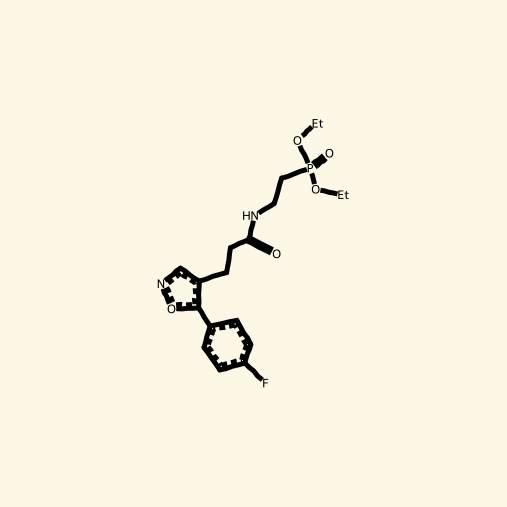 CCOP(=O)(CCNC(=O)CCc1cnoc1-c1ccc(F)cc1)OCC